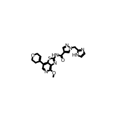 COc1ncc(C2=CCOCC2)c2sc(NC(=O)c3cnn(Cc4ncc[nH]4)c3)nc12